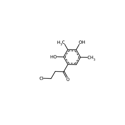 Cc1cc(C(=O)CCCl)c(O)c(C)c1O